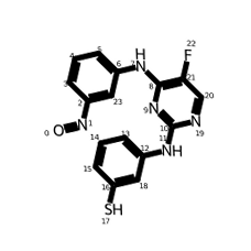 O=Nc1cccc(Nc2nc(Nc3cccc(S)c3)ncc2F)c1